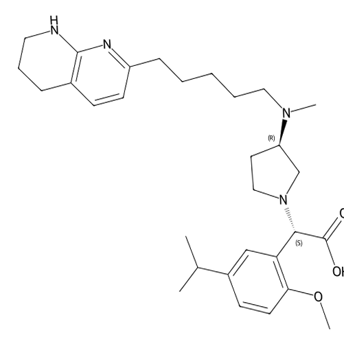 COc1ccc(C(C)C)cc1[C@@H](C(=O)O)N1CC[C@@H](N(C)CCCCCc2ccc3c(n2)NCCC3)C1